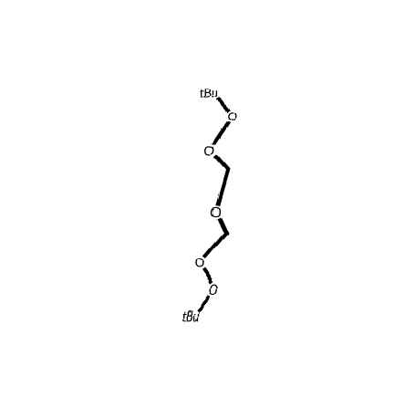 CC(C)(C)OOCOCOOC(C)(C)C